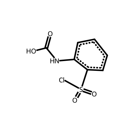 O=C(O)Nc1ccccc1S(=O)(=O)Cl